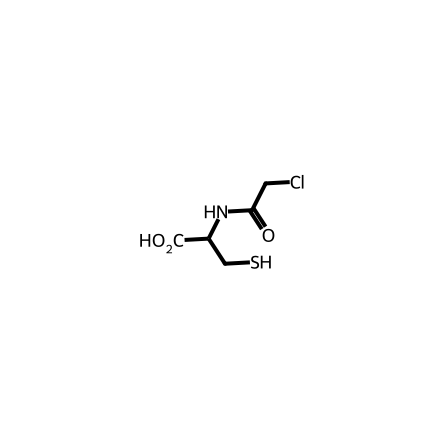 O=C(CCl)NC(CS)C(=O)O